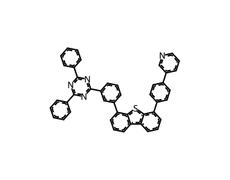 c1ccc(-c2nc(-c3ccccc3)nc(-c3cccc(-c4cccc5c4sc4c(-c6ccc(-c7cccnc7)cc6)cccc45)c3)n2)cc1